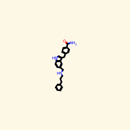 NC(=O)c1ccc(Cc2c[nH]c3ccc(CNCCCc4ccccc4)cc23)cc1